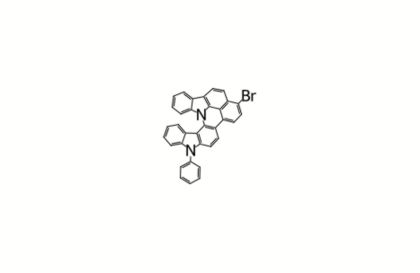 Brc1ccc2c3ccc4c(c5ccccc5n4-c4ccccc4)c3n3c4ccccc4c4ccc1c2c43